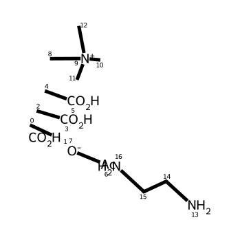 CC(=O)O.CC(=O)O.CC(=O)O.CC(=O)[O-].C[N+](C)(C)C.NCCN